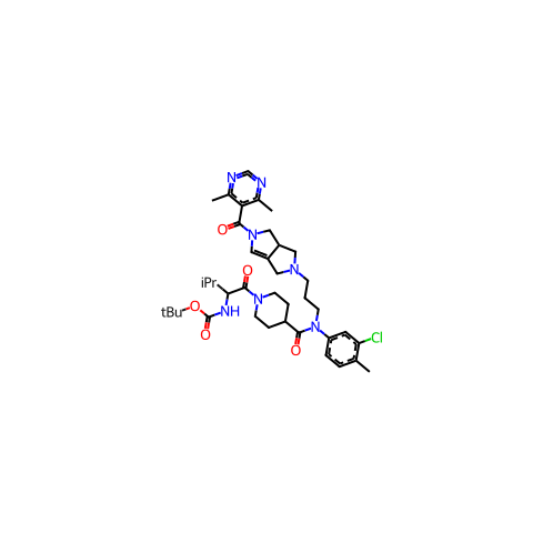 Cc1ccc(N(CCCN2CC3=CN(C(=O)c4c(C)ncnc4C)CC3C2)C(=O)C2CCN(C(=O)C(NC(=O)OC(C)(C)C)C(C)C)CC2)cc1Cl